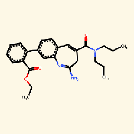 CCCN(CCC)C(=O)C1=Cc2ccc(-c3ccccc3C(=O)OCC)cc2N=C(N)C1